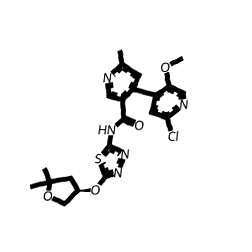 COc1cnc(Cl)cc1-c1cc(C)ncc1C(=O)Nc1nnc(O[C@H]2COC(C)(C)C2)s1